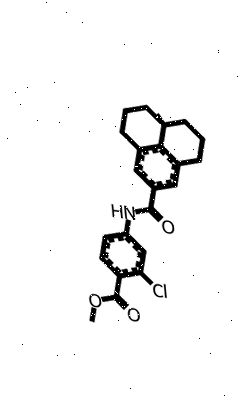 COC(=O)c1ccc(NC(=O)c2cc3c4c(c2)CCCC4(C)CCC3)cc1Cl